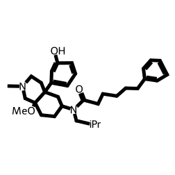 COC12CCC(N(CC(C)C)C(=O)CCCCCc3ccccc3)CC1(c1cccc(O)c1)CCN(C)C2